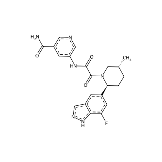 C[C@@H]1CC[C@@H](c2cc(F)c3[nH]ncc3c2)N(C(=O)C(=O)Nc2cncc(C(N)=O)c2)C1